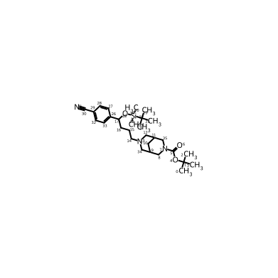 CC(C)(C)OC(=O)N1CC2CC(CN(CCCC(O[Si](C)(C)C(C)(C)C)c3ccc(C#N)cc3)C2)C1